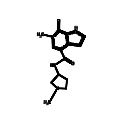 CN1CCC(NC(=O)c2cn(C)c(=O)c3[nH]ccc23)C1